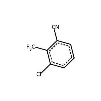 N#Cc1cccc(Cl)c1C(F)(F)F